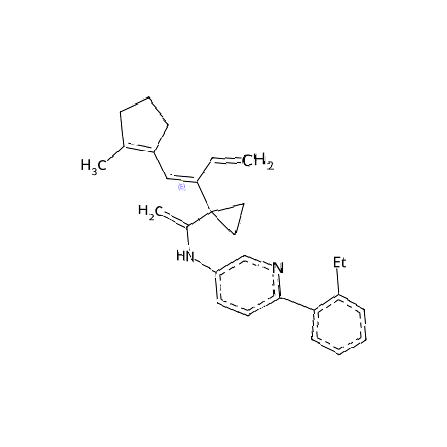 C=C/C(=C\C1=C(C)CCC1)C1(C(=C)Nc2ccc(-c3ccccc3CC)nc2)CC1